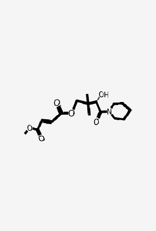 COC(=O)/C=C/C(=O)OCC(C)(C)[C@H](O)C(=O)N1CCCCC1